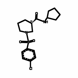 O=C(NC1CCCC1)[C@H]1CCCN(S(=O)(=O)c2ccc(Cl)cc2)C1